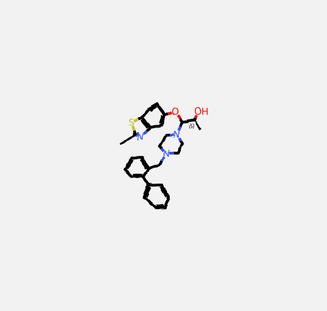 Cc1nc2cc(OC([C@H](C)O)N3CCN(Cc4ccccc4-c4ccccc4)CC3)ccc2s1